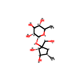 CC1O[C@H](OC2(CO)C[C@H](C)C(O)[C@@H]2O)[C@H](O)C(O)[C@@H]1O